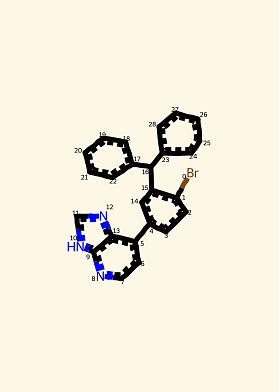 Brc1ccc(-c2ccnc3[nH]cnc23)cc1C(c1ccccc1)c1ccccc1